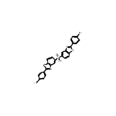 O=S(=O)(c1ccc2oc(-c3ccc(Cl)cc3)nc2c1)c1ccc2oc(-c3ccc(Cl)cc3)nc2c1